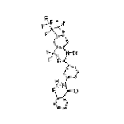 CN(C(=O)c1ccccc1F)c1cccc(C(=O)N(Br)c2ccc(C(F)(C(F)(F)F)C(F)(F)F)cc2C(F)(F)F)c1